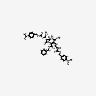 CC(OC(=O)OCc1ccc([N+](=O)[O-])cc1)[C@H]1C(=O)N2C(C(=O)OCc3ccccc3)=C(CCNC(=O)OCc3ccc([N+](=O)[O-])cc3)C(=[N+]=[N-])[S+]([O-])[C@H]12